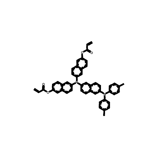 C=CC(=O)Oc1ccc2cc(N(c3ccc4cc(OC(=O)C=C)ccc4c3)c3ccc4cc(N(c5ccc(C)cc5)c5ccc(C)cc5)ccc4c3)ccc2c1